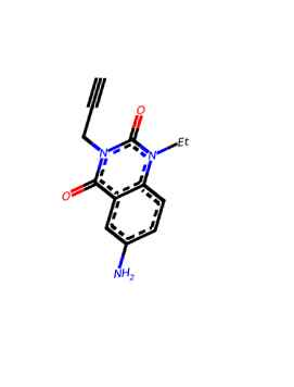 C#CCn1c(=O)c2cc(N)ccc2n(CC)c1=O